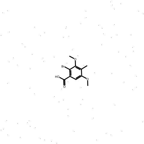 COc1cc(C(=O)O)c(Br)c(OC)c1C